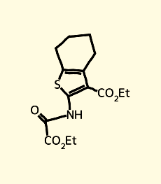 CCOC(=O)C(=O)Nc1sc2c(c1C(=O)OCC)CCCC2